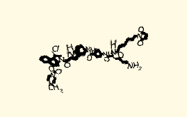 CN1CCN(C(=O)Oc2cc3c(c4ccccc24)[C@H](CCl)CN3C(=O)c2cc3cc(NC(=O)c4ccc(NC(=O)[C@H](CCCCN)NC(=O)CCCCCN5C(=O)C=CC5=O)cc4)ccc3[nH]2)CC1